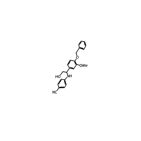 COc1cc(C(CO)Nc2ccc(C#N)cc2)ccc1OCc1ccccc1